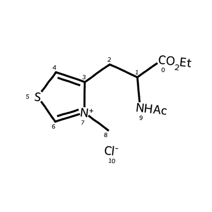 CCOC(=O)C(Cc1csc[n+]1C)NC(C)=O.[Cl-]